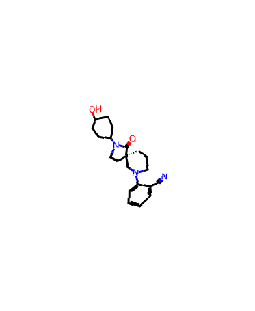 N#Cc1ccccc1N1CCC[C@@]2(CCN(C3CCC(O)CC3)C2=O)C1